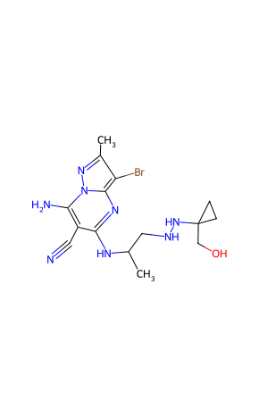 Cc1nn2c(N)c(C#N)c(NC(C)CNNC3(CO)CC3)nc2c1Br